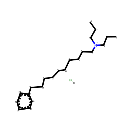 CCCN(CCC)CCCCCCCCCCc1ccccc1.Cl